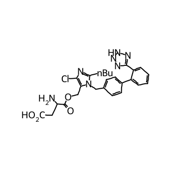 CCCCc1nc(Cl)c(COC(=O)C(N)CC(=O)O)n1Cc1ccc(-c2ccccc2-c2nn[nH]n2)cc1